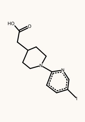 O=C(O)CC1CCN(c2ccc(I)cn2)CC1